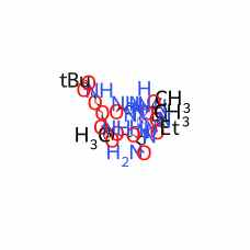 CCc1nc(C)oc1C(=O)Nc1nc2cc(C(N)=O)cnc2n1C/C=C/Cn1c(NC(=O)c2oc(C)nc2CC)nc2cc(C(N)=O)cc(OCCCOC(=O)[C@H](C)NC(=O)CCOCCOCCNC(=O)OC(C)(C)C)c21